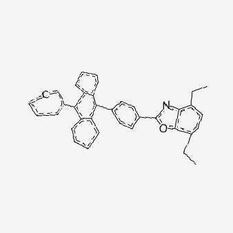 CCc1ccc(CC)c2oc(-c3ccc(-c4c5ccccc5c(-c5ccccc5)c5ccccc45)cc3)nc12